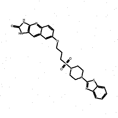 O=c1[nH]c2cc3cc(OCCCS(=O)(=O)N4CCN(c5nc6ccccc6s5)CC4)ccc3nc2[nH]1